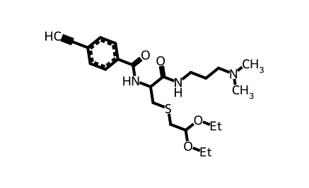 C#Cc1ccc(C(=O)NC(CSCC(OCC)OCC)C(=O)NCCCN(C)C)cc1